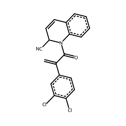 C=C(C(=O)N1c2ccccc2C=CC1C#N)c1ccc(Cl)c(Cl)c1